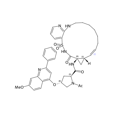 COc1ccc2c(O[C@@H]3C[C@@H](C(=O)N[C@]45C[C@H]4/C=C\CCCCCCNc4ncccc4S(=O)(=O)NC5=O)N(C(C)=O)C3)cc(-c3ccccc3)nc2c1